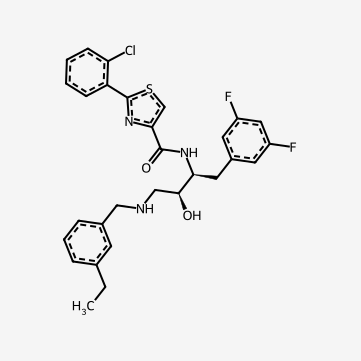 CCc1cccc(CNC[C@H](O)[C@H](Cc2cc(F)cc(F)c2)NC(=O)c2csc(-c3ccccc3Cl)n2)c1